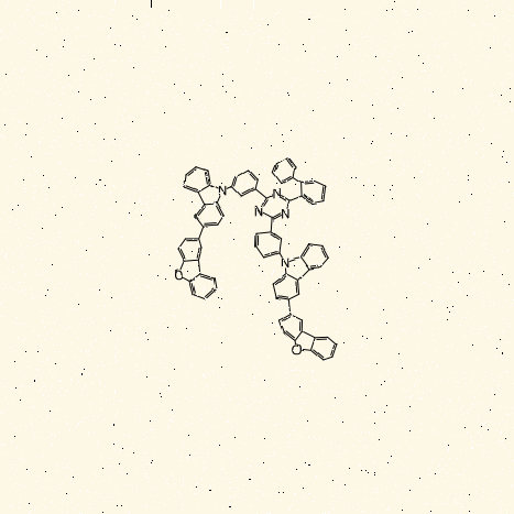 c1ccc(-c2ccccc2-c2nc(-c3cccc(-n4c5ccccc5c5cc(-c6ccc7oc8ccccc8c7c6)ccc54)c3)nc(-c3cccc(-n4c5ccccc5c5cc(-c6ccc7oc8ccccc8c7c6)ccc54)c3)n2)cc1